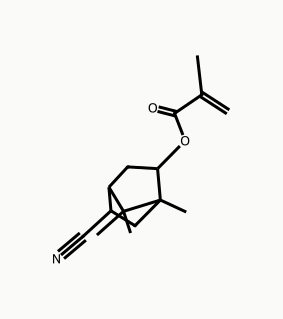 C=C(C)C(=O)OC1CC2C(C#N)CC1(C)C2(C)C